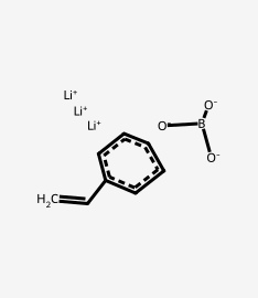 C=Cc1ccccc1.[Li+].[Li+].[Li+].[O-]B([O-])[O-]